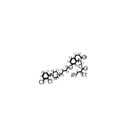 CCC(CC(C)C)C(=O)OCN1C(=O)CCc2ccc(OCCCCN3CCN(c4cccc(Cl)c4Cl)CC3)cc21